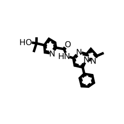 Cc1cc2nc(NC(=O)c3ccc(C(C)(C)O)cn3)cc(-c3ccccc3)n2n1